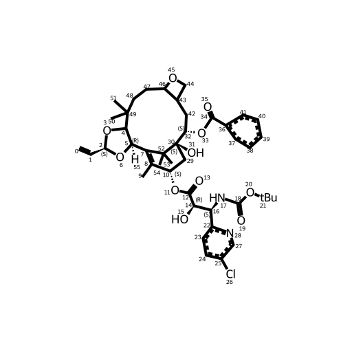 C=C[C@H]1OC2[C@H](O1)C1=C(C)[C@@H](OC(=O)[C@H](O)[C@@H](NC(=O)OC(C)(C)C)c3ccc(Cl)cn3)C[C@@](O)([C@@H](OC(=O)c3ccccc3)CC3COC3CCC2(C)C)C1(C)C